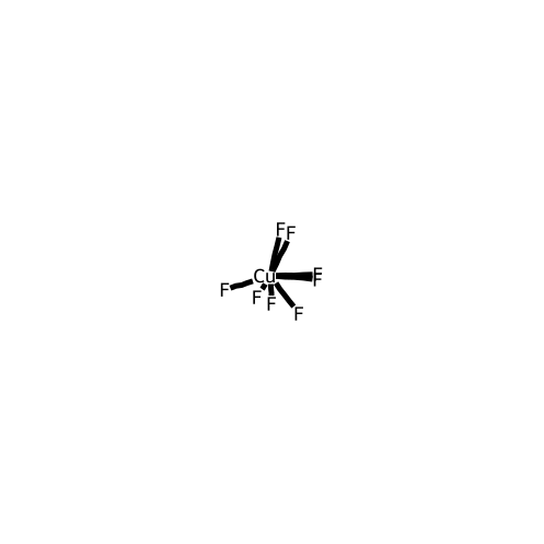 [F][Cu]([F])([F])([F])([F])([F])([F])[F]